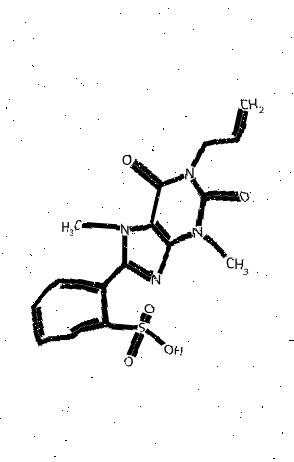 C=CCn1c(=O)c2c(nc(-c3ccccc3S(=O)(=O)O)n2C)n(C)c1=O